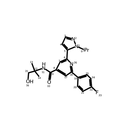 CC(C)n1nccc1-c1cc(C(=O)NC(C)(C)CO)cc(-c2ccc(F)cc2)n1